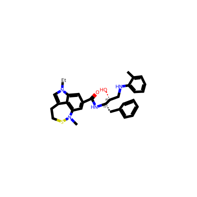 CCn1cc2c3c(cc(C(=O)N[C@@H](Cc4ccccc4)[C@H](O)CNc4ccccc4C)cc31)N(C)SCC2